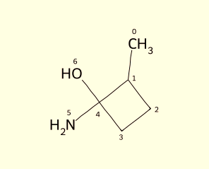 CC1CCC1(N)O